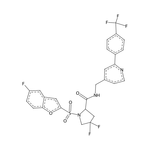 O=C(NCc1ccnc(-c2ccc(C(F)(F)F)cc2)c1)C1CC(F)(F)CN1S(=O)(=O)c1cc2cc(F)ccc2o1